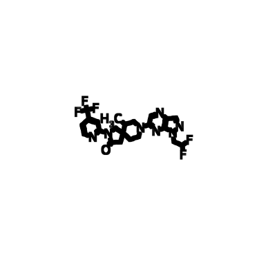 CC1CN(c2cnc3cnn(CC(F)F)c3n2)CCC12CC(=O)N(c1cc(C(F)(F)F)ccn1)C2